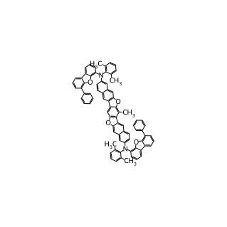 Cc1cccc(C)c1N(c1ccc2cc3c(cc2c1)oc1c(C)c2c(cc13)oc1cc3cc(N(c4c(C)cccc4C)c4cccc5c4oc4c(-c6ccccc6)cccc45)ccc3cc12)c1cccc2c1oc1c(-c3ccccc3)cccc12